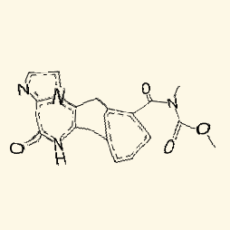 COC(=O)N(C)C(=O)c1cccc2c1Cc1c-2[nH]c(=O)c2nccn12